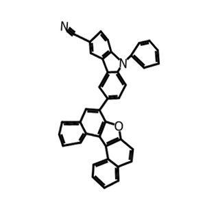 N#Cc1ccc2c(c1)c1cc(-c3cc4ccccc4c4c3oc3ccc5ccccc5c34)ccc1n2-c1ccccc1